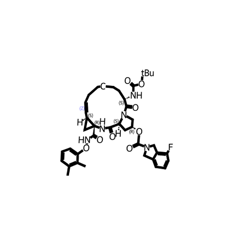 Cc1cccc(ONC(=O)[C@@]23C[C@H]2/C=C\CCCCC[C@H](NC(=O)OC(C)(C)C)C(=O)N2C[C@H](OC(=O)N4Cc5cccc(F)c5C4)C[C@H]2C(=O)N3)c1C